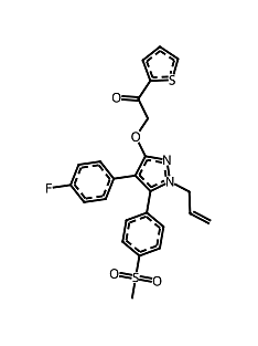 C=CCn1nc(OCC(=O)c2cccs2)c(-c2ccc(F)cc2)c1-c1ccc(S(C)(=O)=O)cc1